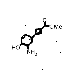 COC(=O)C12CC(c3ccc(O)c(N)c3)(C1)C2